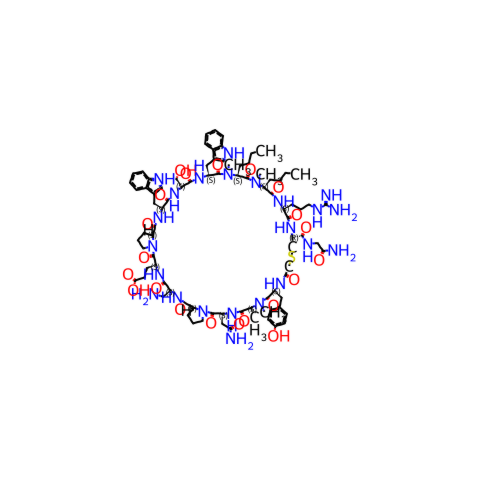 CCCC[C@H]1C(=O)N(C)[C@@H](CCCC)C(=O)N[C@@H](CCCNC(=N)N)C(=O)N[C@H](C(=O)NCC(N)=O)CSCC(=O)N[C@@H](Cc2ccc(O)cc2)C(=O)N(C)[C@@H](C)C(=O)N[C@@H](CC(N)=O)C(=O)N2CCC[C@H]2C(=O)N[C@@H](CN)C(=O)N[C@@H](CCC(=O)O)C(=O)N2CCC[C@H]2C(=O)N[C@@H](Cc2c[nH]c3ccccc23)C(=O)N[C@@H](CO)C(=O)N[C@@H](Cc2c[nH]c3ccccc23)C(=O)N1C